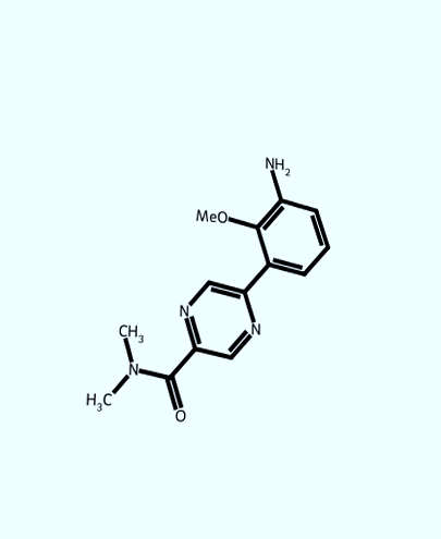 COc1c(N)cccc1-c1cnc(C(=O)N(C)C)cn1